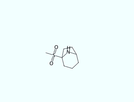 CS(=O)(=O)C12CCCC(CC1)N2